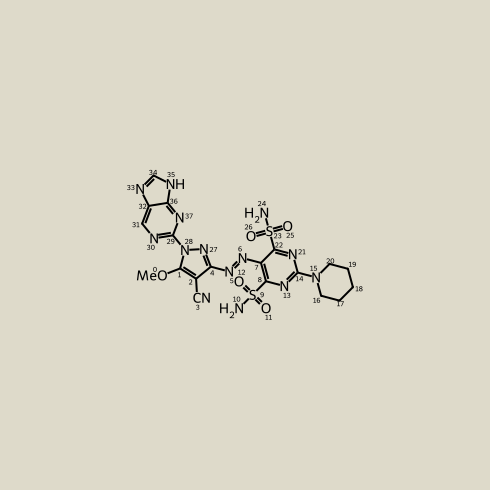 COc1c(C#N)c(N=Nc2c(S(N)(=O)=O)nc(N3CCCCC3)nc2S(N)(=O)=O)nn1-c1ncc2nc[nH]c2n1